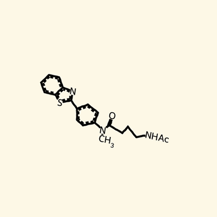 CC(=O)NCCCC(=O)N(C)c1ccc(-c2nc3ccccc3s2)cc1